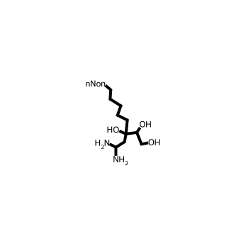 CCCCCCCCCCCCCCC(O)(CC(N)N)C(O)CO